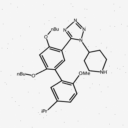 CCCCOc1cc(OCCCC)c(-c2nnnn2C2CCNCC2)cc1-c1cc(C(C)C)ccc1OC